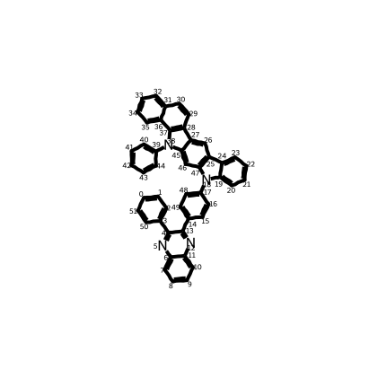 c1ccc(-c2nc3ccccc3nc2-c2ccc(-n3c4ccccc4c4cc5c6ccc7ccccc7c6n(-c6ccccc6)c5cc43)cc2)cc1